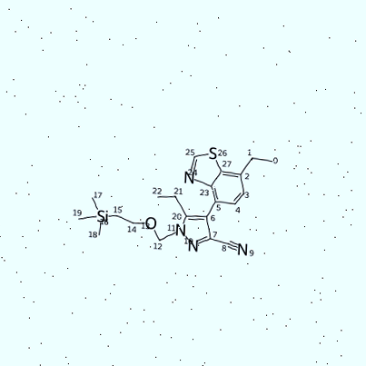 CCc1ccc(-c2c(C#N)nn(COCC[Si](C)(C)C)c2CC)c2ncsc12